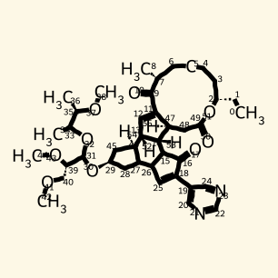 CC[C@H]1CCCC[C@@H](C)C(=O)C2=C[C@@H]3[C@@H](C4C(=O)C(c5cncnc5)=CC4C4C[C@@H](OC(OC(C)[C@@H](C)OC)[C@H](COC)OC)C[C@H]43)[C@@H]2CC(=O)O1